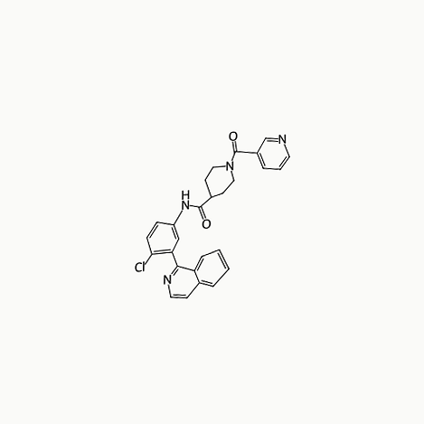 O=C(Nc1ccc(Cl)c(-c2nccc3ccccc23)c1)C1CCN(C(=O)c2cccnc2)CC1